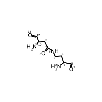 NC(C=O)CCNC(=O)CC(N)C=O